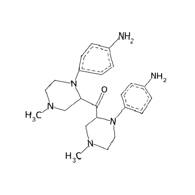 CN1CCN(c2ccc(N)cc2)C(C(=O)C2CN(C)CCN2c2ccc(N)cc2)C1